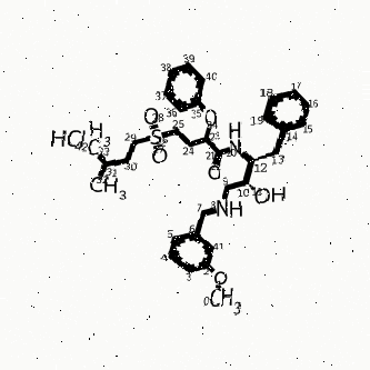 COc1cccc(CNC[C@@H](O)[C@H](Cc2ccccc2)NC(=O)C(CCS(=O)(=O)CCC(C)C)Oc2ccccc2)c1.Cl